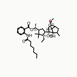 CCCCCCC(=O)Nc1ccccc1C(=O)O[C@@H](C)C1CC([C@@]2(O)C[C@H](OC)C3CC(C)[C@]2(O)[C@H]3OC)[C@@H](CC)C1(C)C